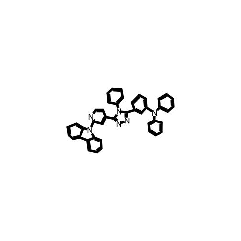 c1ccc(N(c2ccccc2)c2cccc(-c3nnc(-c4ccnc(-n5c6ccccc6c6ccccc65)c4)n3-c3ccccc3)c2)cc1